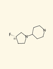 F[C@H]1CCN(C2CC[N]CC2)C1